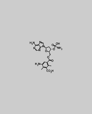 Cc1c(N)cc(C(=O)OC[C@H]2O[C@@H](n3cnc4c(N)ncnc43)C[C@@H]2OP(N)(=O)O)c(C)c1C(=O)O